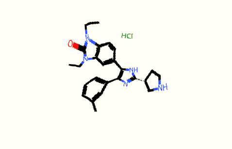 CCn1c(=O)n(CC)c2cc(-c3[nH]c([C@@H]4CCNC4)nc3-c3cccc(C)c3)ccc21.Cl